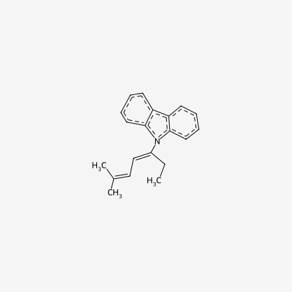 CC/C(=C\C=C(C)C)n1c2ccccc2c2ccccc21